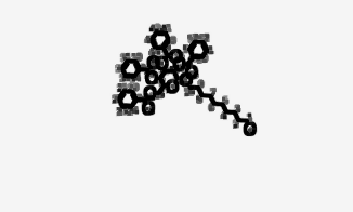 O=CCCCCCCCCCO[C@@H]1OC(COC(=O)c2ccccc2)[C@@H](OC(=O)c2ccccc2)C(OC(=O)c2ccccc2)C1OC(=O)c1ccccc1